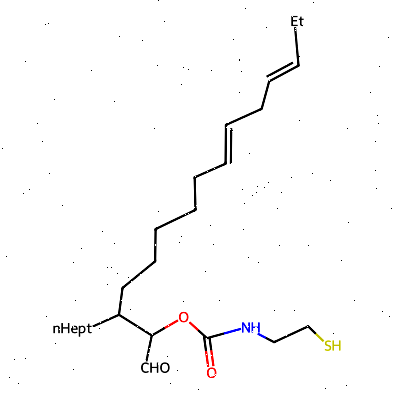 CC/C=C/C/C=C/CCCCCC(CCCCCCC)C(C=O)OC(=O)NCCS